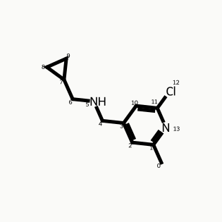 Cc1cc(CNCC2CC2)cc(Cl)n1